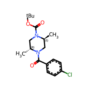 C[C@@H]1CN(C(=O)OC(C)(C)C)[C@@H](C)CN1C(=O)c1ccc(Cl)cc1